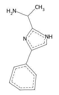 CC(N)c1nc(-c2ccccc2)c[nH]1